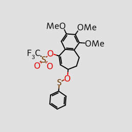 COc1cc2c(c(OC)c1OC)CCC(OSc1ccccc1)C=C2OS(=O)(=O)C(F)(F)F